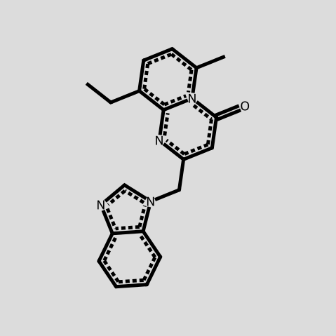 CCc1ccc(C)n2c(=O)cc(Cn3cnc4ccccc43)nc12